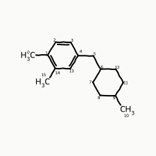 Cc1ccc(CC2CCC(C)CC2)cc1C